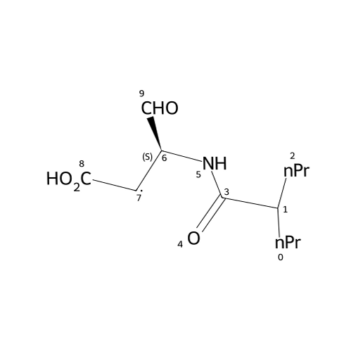 CCCC(CCC)C(=O)N[C@@H]([CH]C(=O)O)C=O